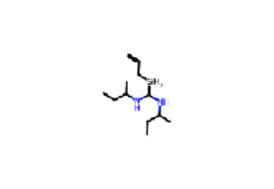 C=CC[SiH2]C(NC(C)CC)NC(C)CC